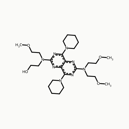 COCCN(CCO)c1nc(N2CCCCC2)c2nc(N(CCOC)CCOC)nc(N3CCCCC3)c2n1